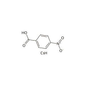 O=C(O)c1ccc([N+](=O)[O-])cc1.[CsH]